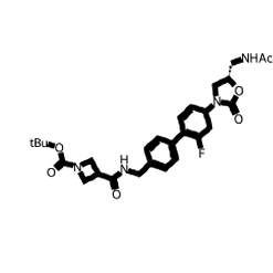 CC(=O)NC[C@H]1CN(C2C=CC(c3ccc(CNC(=O)C4CN(C(=O)OC(C)(C)C)C4)cc3)=C(F)C2)C(=O)O1